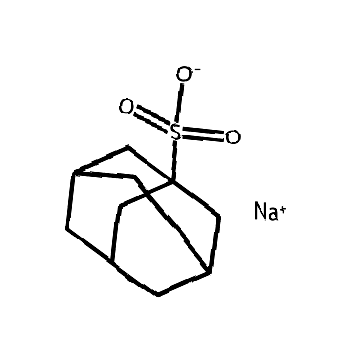 O=S(=O)([O-])C12CC3CC(CC(C3)C1)C2.[Na+]